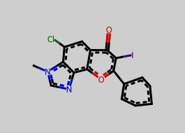 Cn1cnc2c3oc(-c4ccccc4)c(I)c(=O)c3cc(Cl)c21